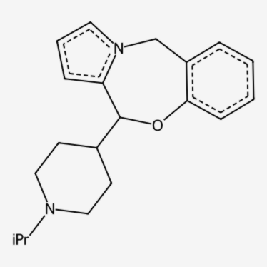 CC(C)N1CCC(C2Oc3ccccc3Cn3cccc32)CC1